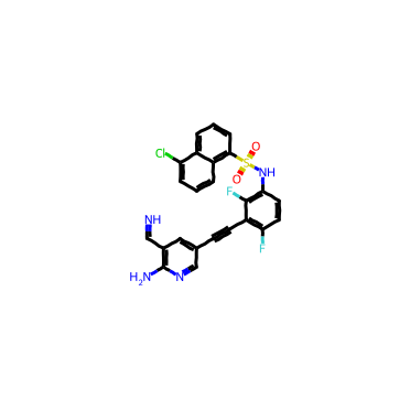 N=Cc1cc(C#Cc2c(F)ccc(NS(=O)(=O)c3cccc4c(Cl)cccc34)c2F)cnc1N